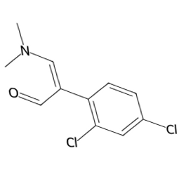 CN(C)C=C(C=O)c1ccc(Cl)cc1Cl